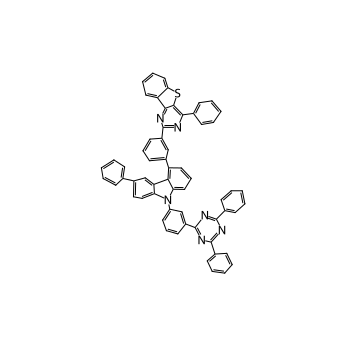 c1ccc(-c2ccc3c(c2)c2c(-c4cccc(-c5nc(-c6ccccc6)c6sc7ccccc7c6n5)c4)cccc2n3-c2cccc(-c3nc(-c4ccccc4)nc(-c4ccccc4)n3)c2)cc1